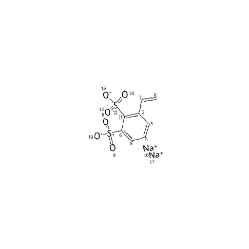 C=Cc1cccc(S(=O)(=O)[O-])c1S(=O)(=O)[O-].[Na+].[Na+]